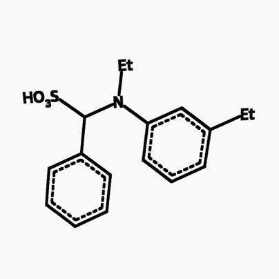 CCc1cccc(N(CC)C(c2ccccc2)S(=O)(=O)O)c1